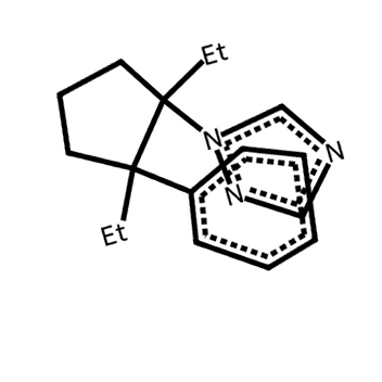 CCC1(c2ccccc2)CCCC1(CC)n1cncn1